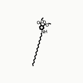 CCCCCCCCCCCCCCCCCCNc1ccc(C(=O)OCC)c(C(=O)OCC)c1